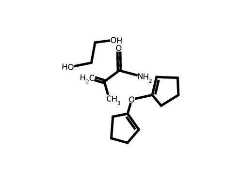 C1=C(OC2=CCCC2)CCC1.C=C(C)C(N)=O.OCCO